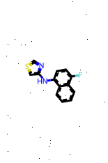 Fc1ccc(Nc2cscn2)c2ccccc12